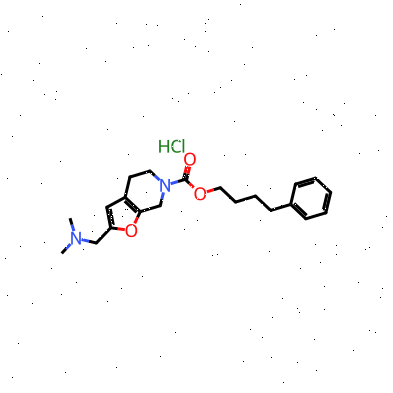 CN(C)Cc1cc2c(o1)CN(C(=O)OCCCCc1ccccc1)CC2.Cl